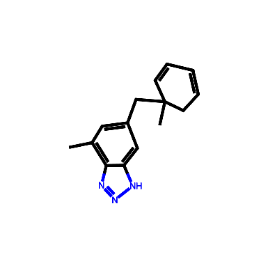 Cc1cc(CC2(C)C=CC=CC2)cc2[nH]nnc12